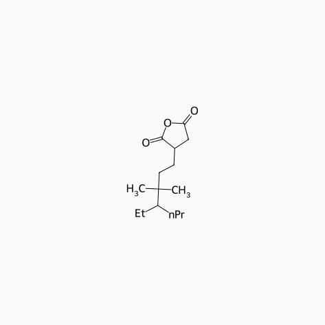 CCCC(CC)C(C)(C)CCC1CC(=O)OC1=O